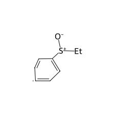 CC[S+]([O-])c1cc[c]cc1